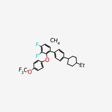 C.CCC1CCC(c2ccc(-c3ccc(F)c(F)c3Oc3ccc(OC(F)(F)F)cc3)cc2)CC1